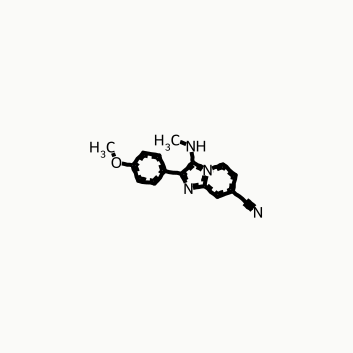 CNc1c(-c2ccc(OC)cc2)nc2cc(C#N)ccn12